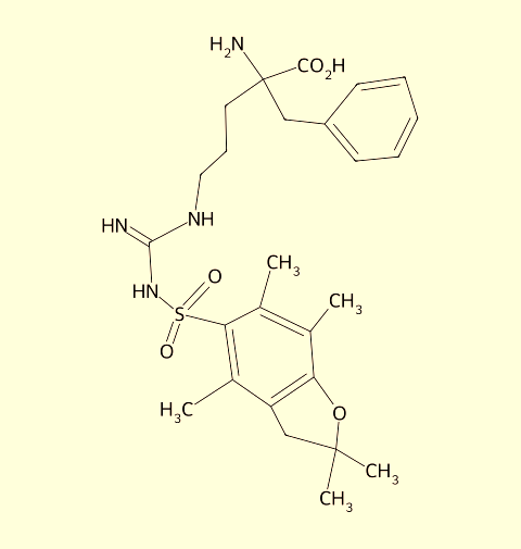 Cc1c(C)c(S(=O)(=O)NC(=N)NCCCC(N)(Cc2ccccc2)C(=O)O)c(C)c2c1OC(C)(C)C2